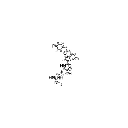 CC(C)C[C@H](NC(=O)Cc1ccc(F)cc1)c1nc(C(=O)N[C@@H](CCCNC(=N)N)C(=O)O)co1